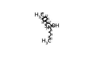 CCCCCCN1CSC(c2ccc(C)cc2)=CC1O